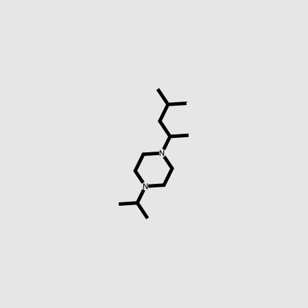 CC(C)CC(C)N1CCN(C(C)C)CC1